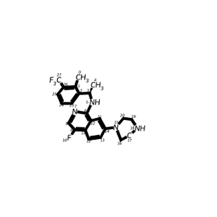 Cc1c([C@@H](C)Nc2ncc(F)c3ccc(N4CCNCC4)cc23)cccc1C(F)(F)F